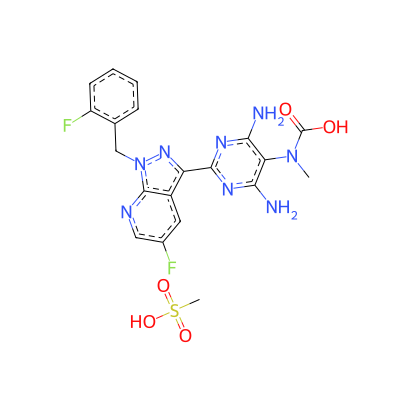 CN(C(=O)O)c1c(N)nc(-c2nn(Cc3ccccc3F)c3ncc(F)cc23)nc1N.CS(=O)(=O)O